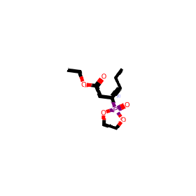 CC/C=C(\CC(=O)OCC)P1(=O)OCCO1